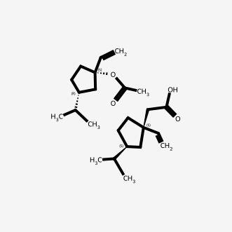 C=C[C@@]1(CC(=O)O)CC[C@H](C(C)C)C1.C=C[C@]1(OC(C)=O)CC[C@@H](C(C)C)C1